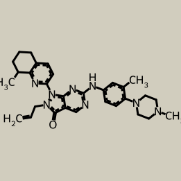 C=CCn1c(=O)c2cnc(Nc3ccc(N4CCN(C)CC4)c(C)c3)nc2n1-c1ccc2c(n1)C(C)CCC2